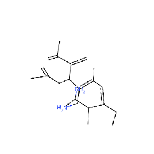 C=C(C)CC(C(=C)C(=C)C)/C(CN)=C(C)/C=C(/CC)C(C)C(C)N